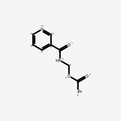 CC(C)C(=O)OCNC(=O)c1cccnc1